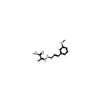 COc1cccc(/C=C/CO/N=C(/C)C(=O)O)c1